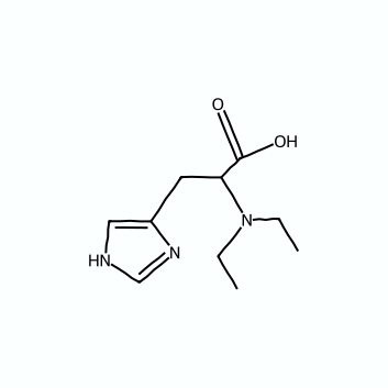 CCN(CC)C(Cc1c[nH]cn1)C(=O)O